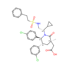 C[C@]1(CC(=O)O)C[C@H](c2cccc(Cl)c2)[C@@H](c2ccc(Cl)cc2)N([C@H](CNS(=O)(=O)CCc2ccccc2)C2CC2)C1=O